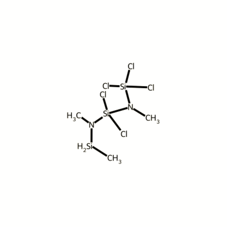 C[SiH2]N(C)[Si](Cl)(Cl)N(C)[Si](Cl)(Cl)Cl